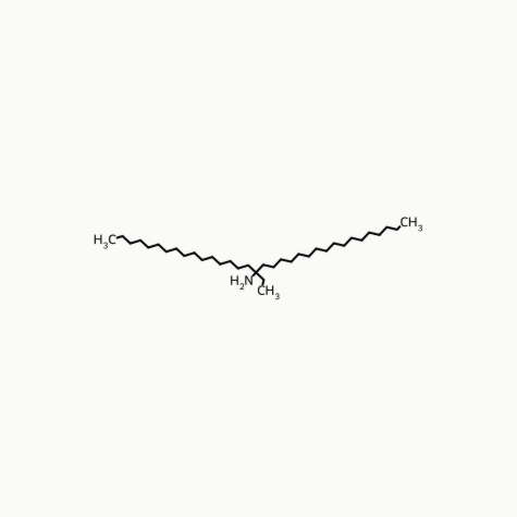 CCCCCCCCCCCCCCCCCC(N)(CC)CCCCCCCCCCCCCCCC